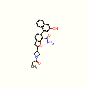 C=CC(=O)N1CC(c2cc3ccc(-c4cc(O)cc5ccccc45)c(C(N)=O)c3o2)C1